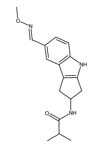 CON=Cc1ccc2[nH]c3c(c2c1)CC(NC(=O)C(C)C)C3